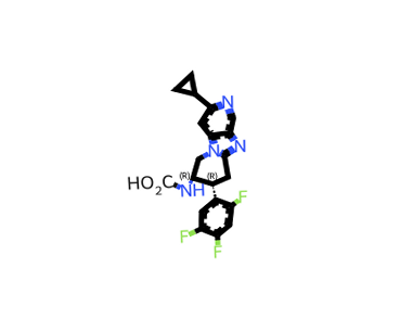 O=C(O)N[C@H]1Cn2c(nc3cnc(C4CC4)cc32)C[C@@H]1c1cc(F)c(F)cc1F